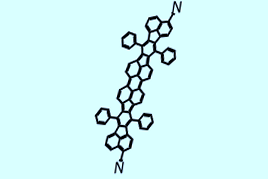 N#Cc1ccc2c3c(-c4ccccc4)c4c5ccc6c7ccc8c9c(-c%10ccccc%10)c%10c%11ccc(C#N)c%12cccc(c%10c(-c%10ccccc%10)c9c9ccc(c%10ccc(c4c(-c4ccccc4)c3c3cccc1c32)c5c%106)c7c98)c%12%11